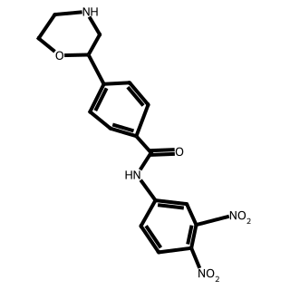 O=C(Nc1ccc([N+](=O)[O-])c([N+](=O)[O-])c1)c1ccc(C2CNCCO2)cc1